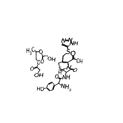 CC(COC(=O)CO)OC(=O)CO.NC(C(=O)NC1C(=O)N2C(C(=O)O)=C(CSc3cnn[nH]3)CS[C@H]12)c1ccc(O)cc1